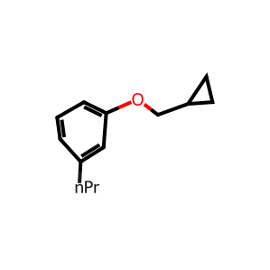 CCCc1cccc(OCC2CC2)c1